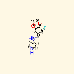 Fc1cc(CNC2CCNCC2)cc2c1OCCO2